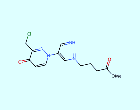 COC(=O)CCCN/C=C(\C=N)n1ccc(=O)c(CCl)n1